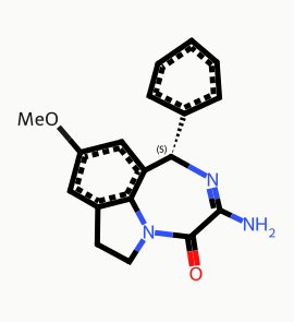 COc1cc2c3c(c1)[C@H](c1ccccc1)N=C(N)C(=O)N3CC2